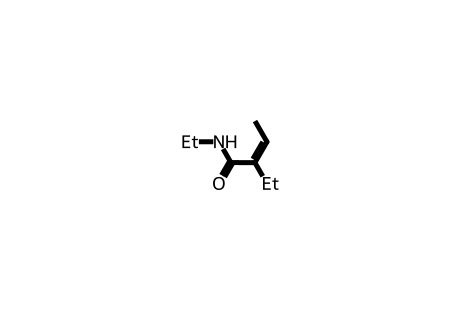 CC=C(CC)C(=O)NCC